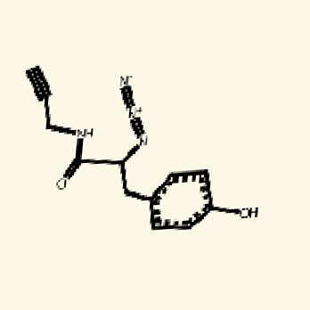 C#CCNC(=O)C(Cc1ccc(O)cc1)N=[N+]=[N-]